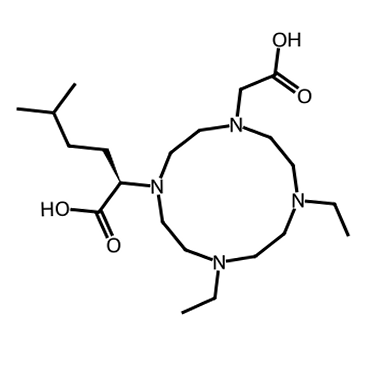 CCN1CCN(CC)CCN([C@H](CCC(C)C)C(=O)O)CCN(CC(=O)O)CC1